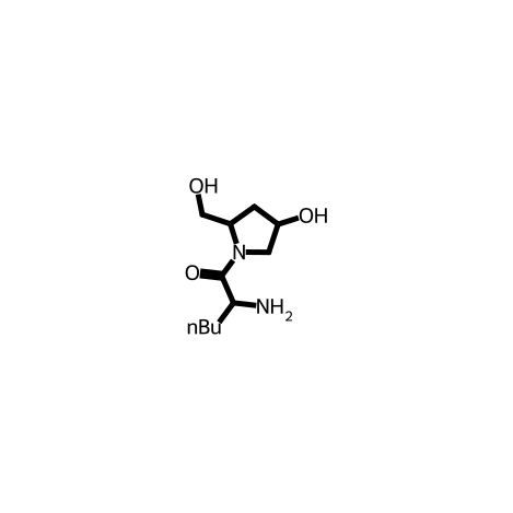 CCCCC(N)C(=O)N1CC(O)CC1CO